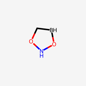 B1CONO1